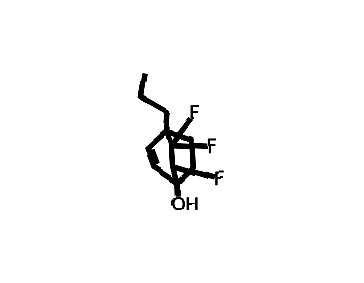 CCCC12C=CC(O)(CC1)C(F)C2(F)F